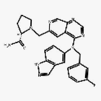 NC(=O)[C@@H]1CCCN1Cc1cc2c(N(Cc3cccc(F)c3)c3ccc4[nH]ncc4c3)ncnc2cn1